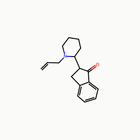 C=CCN1CCCCC1C1Cc2ccccc2C1=O